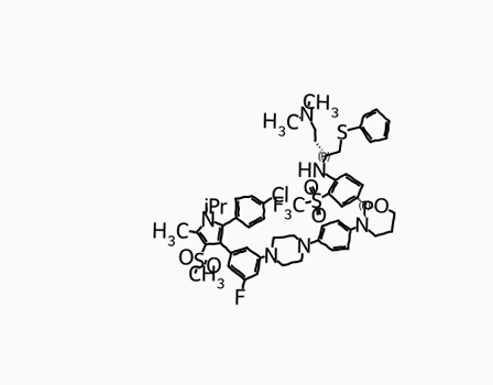 Cc1c(S(C)(=O)=O)c(-c2cc(F)cc(N3CCN(c4ccc(N5CCCO[P@@]5c5ccc(N[C@H](CCN(C)C)CSc6ccccc6)c(S(=O)(=O)C(F)(F)F)c5)cc4)CC3)c2)c(-c2ccc(Cl)cc2)n1C(C)C